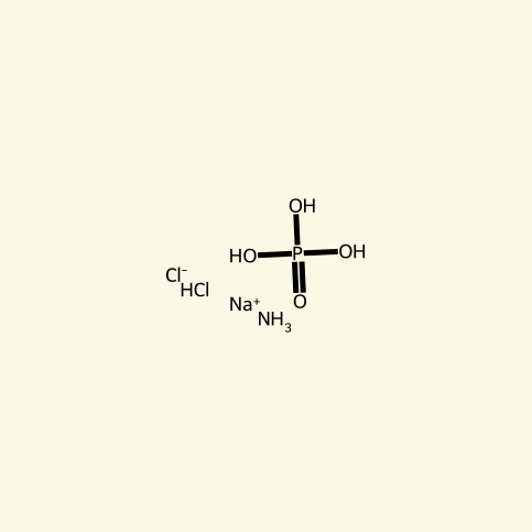 Cl.N.O=P(O)(O)O.[Cl-].[Na+]